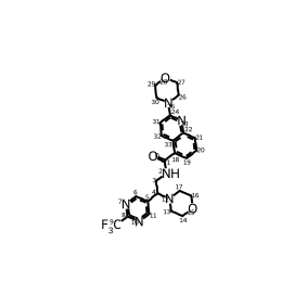 O=C(NCC(c1cnc(C(F)(F)F)nc1)N1CCOCC1)c1cccc2nc(N3CCOCC3)ccc12